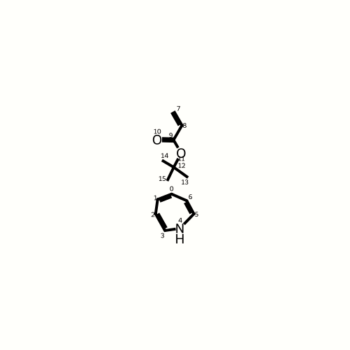 C1=CC=CNC=C1.C=CC(=O)OC(C)(C)C